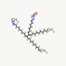 C=C=NCCCCCCCCC(CCCCCCCCCC)C(CCCCCCCCCC)CCCCCCCCN=C=O